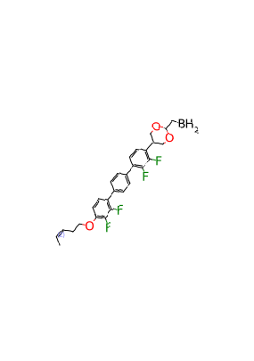 BCC1OCC(c2ccc(-c3ccc(-c4ccc(OCC/C=C\C)c(F)c4F)cc3)c(F)c2F)CO1